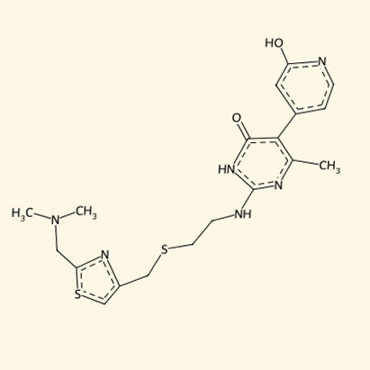 Cc1nc(NCCSCc2csc(CN(C)C)n2)[nH]c(=O)c1-c1ccnc(O)c1